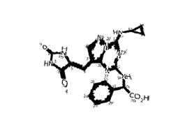 O=C1NC(=O)/C(=C/c2cnn3c(NC4CC4)nc(NC(C(=O)O)c4ccccc4)nc23)N1